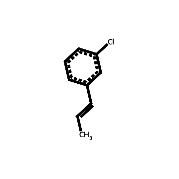 C[C]=Cc1cccc(Cl)c1